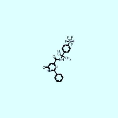 CC(C)(NC(=O)c1cc(=O)[nH]c(-c2ccccc2)n1)c1ccc(S(F)(F)(F)(F)F)cc1